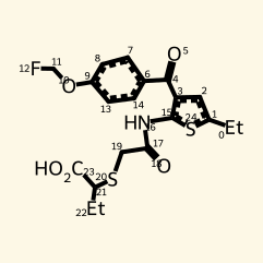 CCc1cc(C(=O)c2ccc(OCF)cc2)c(NC(=O)CSC(CC)C(=O)O)s1